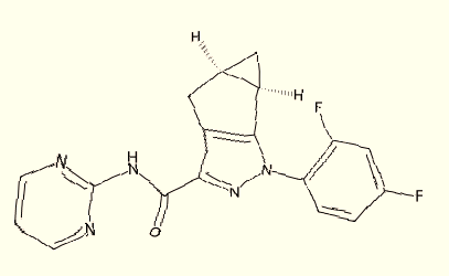 O=C(Nc1ncccn1)c1nn(-c2ccc(F)cc2F)c2c1C[C@H]1C[C@@H]21